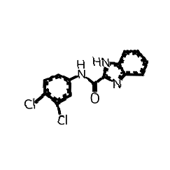 O=C(Nc1ccc(Cl)c(Cl)c1)c1nc2ccccc2[nH]1